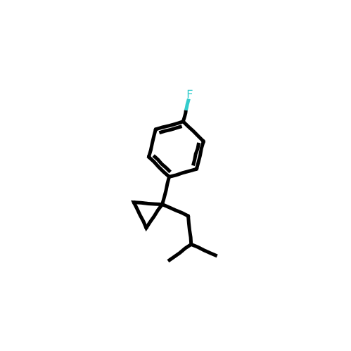 CC(C)CC1(c2ccc(F)cc2)CC1